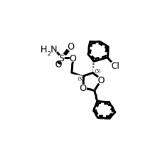 NS(=O)(=O)OC[C@@H]1OC(c2ccccc2)O[C@H]1c1ccccc1Cl